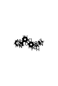 O=S(=O)(Nc1cscn1)c1cc(Cl)c(Oc2ccccc2-c2cnn3c2NCCC3)cc1F